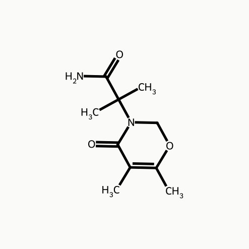 CC1=C(C)C(=O)N(C(C)(C)C(N)=O)CO1